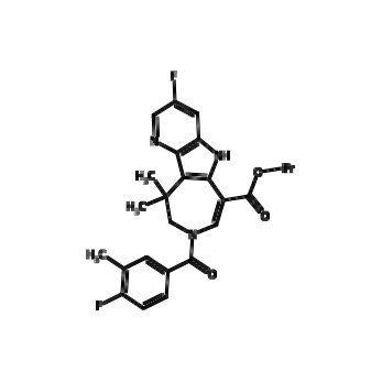 Cc1cc(C(=O)N2C=C(C(=O)OC(C)C)c3[nH]c4cc(F)cnc4c3C(C)(C)C2)ccc1F